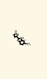 Nc1ccc2nc(-c3cc[nH]n3)[nH]c2c1